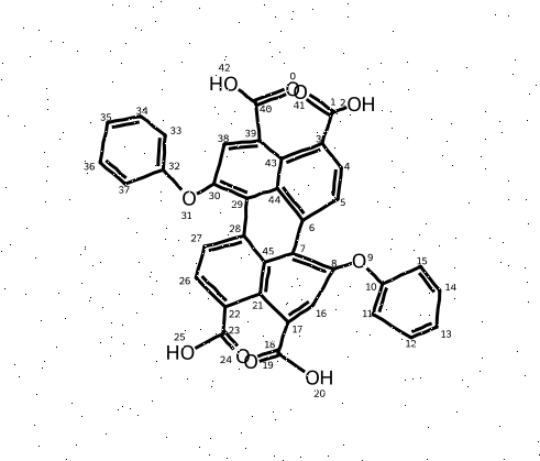 O=C(O)c1ccc2c3c(Oc4ccccc4)cc(C(=O)O)c4c(C(=O)O)ccc(c5c(Oc6ccccc6)cc(C(=O)O)c1c25)c43